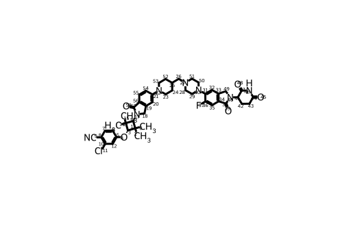 CC1(C)[C@H](Oc2ccc(C#N)c(Cl)c2)C(C)(C)[C@H]1N1Cc2cc(N3CCC(CN4CCN(c5cc6c(cc5F)C(=O)N(C5CCC(=O)NC5=O)C6)CC4)CC3)ccc2C1=O